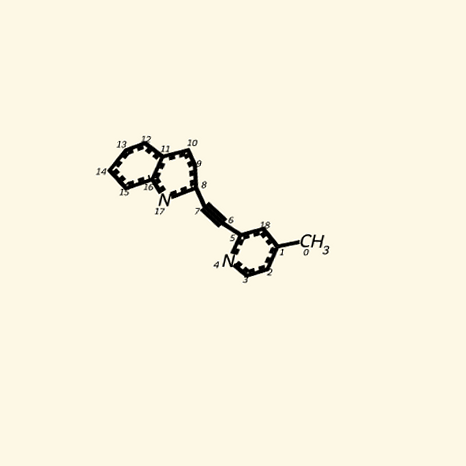 Cc1ccnc(C#Cc2ccc3ccccc3n2)c1